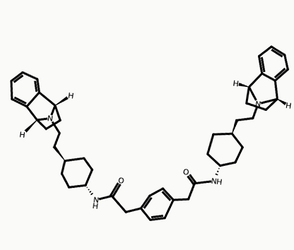 O=C(Cc1ccc(CC(=O)N[C@H]2CC[C@H](CCN3[C@@H]4CC[C@H]3c3ccccc34)CC2)cc1)N[C@H]1CC[C@H](CCN2[C@@H]3CC[C@H]2c2ccccc23)CC1